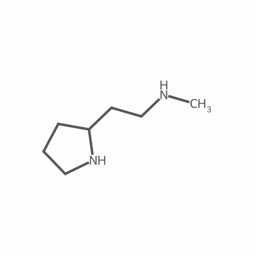 CNCCC1CCCN1